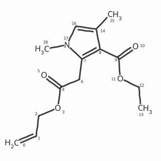 C=CCOC(=O)Cc1c(C(=O)OCC)c(C)cn1C